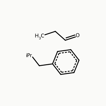 CC(C)Cc1ccccc1.CCC=O